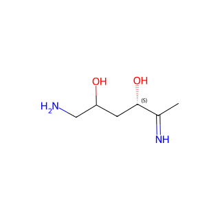 CC(=N)[C@@H](O)CC(O)CN